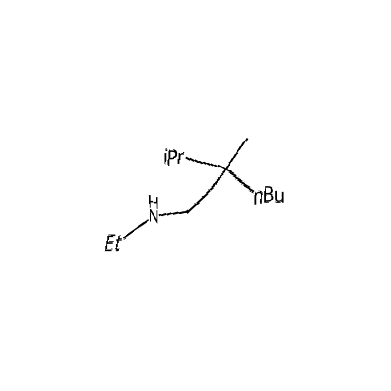 CCCCC(C)(CNCC)C(C)C